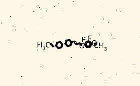 CCC[C@H]1CC[C@H](C2CCC(/C=C/COc3ccc(OC)c(F)c3F)CC2)CC1